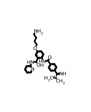 CN(C)C(=N)c1ccc(C(=O)Nc2ccc(OCCCCN)cc2C(O)Nc2ccccn2)cc1